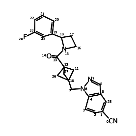 N#Cc1ccc2c(cnn2CC23CC(C(=O)N4CCC4c4cccc(F)c4)(C2)C3)c1